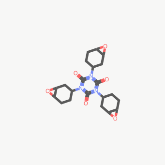 O=c1n(C2CCC3OC3C2)c(=O)n(C2CCC3OC3C2)c(=O)n1C1CCC2OC2C1